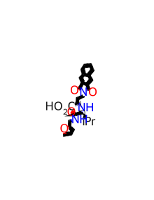 CC(C)C[C@H](N[C@H](CCN1C(=O)c2cc3ccccc3cc2C1=O)C(=O)O)C(=O)NCc1ccco1